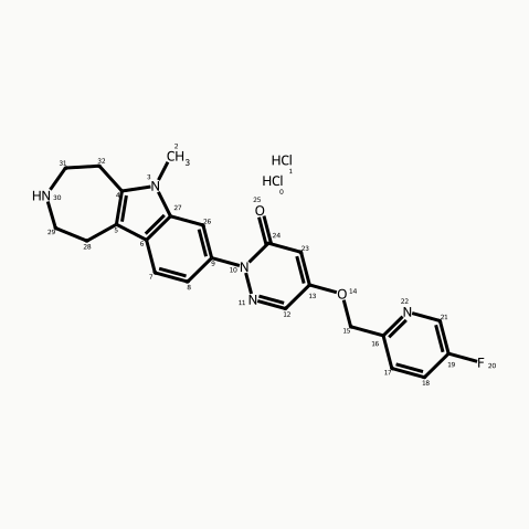 Cl.Cl.Cn1c2c(c3ccc(-n4ncc(OCc5ccc(F)cn5)cc4=O)cc31)CCNCC2